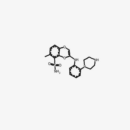 Cc1ccc2c(c1S(N)(=O)=O)OC(Nc1ccccc1N1CCNCC1)=CO2